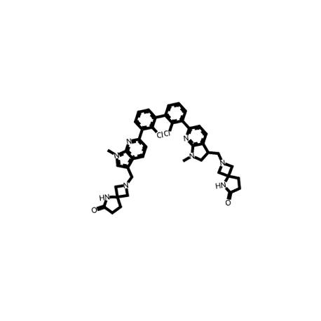 CN1CC(CN2CC3(CCC(=O)N3)C2)c2ccc(-c3cccc(-c4cccc(-c5ccc6c(CN7CC8(CCC(=O)N8)C7)cn(C)c6n5)c4Cl)c3Cl)nc21